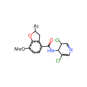 COc1ccc(C(=O)NC2C(Cl)=CN=CC2Cl)c2c1OC(C(C)=O)C2